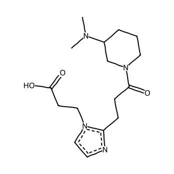 CN(C)C1CCCN(C(=O)CCc2nccn2CCC(=O)O)C1